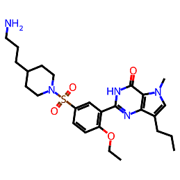 CCCc1cn(C)c2c(=O)[nH]c(-c3cc(S(=O)(=O)N4CCC(CCCN)CC4)ccc3OCC)nc12